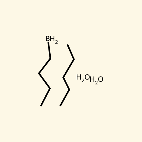 BCCCC.CCCCC.O.O